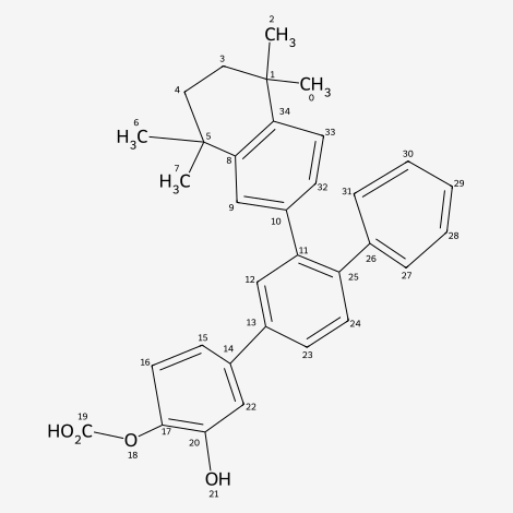 CC1(C)CCC(C)(C)c2cc(-c3cc(-c4ccc(OC(=O)O)c(O)c4)ccc3-c3ccccc3)ccc21